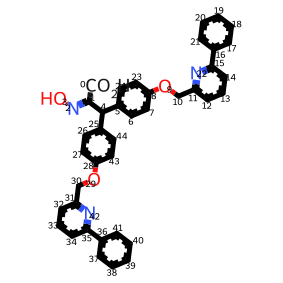 O=C(O)/C(=N\O)C(c1ccc(OCc2cccc(-c3ccccc3)n2)cc1)c1ccc(OCc2cccc(-c3ccccc3)n2)cc1